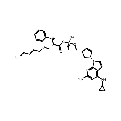 CCCCCOC[C@H](Nc1ccccc1)C(=O)OP(=O)(O)OC[C@@H]1C=C[C@H](n2cnc3c(NC4CC4)nc(N)nc32)C1